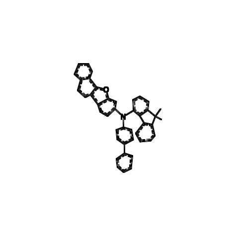 CC1(C)c2ccccc2-c2c(N(c3ccc(-c4ccccc4)cc3)c3ccc4c(c3)oc3c5ccccc5ccc43)cccc21